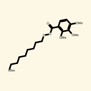 [CH2]CCCCCCCCCCCCCCCCCOOC(=O)c1ccc(OC)c(OC)c1OC